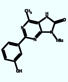 CCCCn1c(=O)[nH]c2c(C)nc(-c3cccc(O)c3)nc21